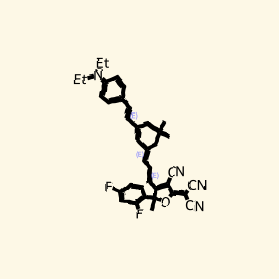 CCN(CC)c1ccc(/C=C/C2=CC(=C/C=C/C3=C(C#N)C(=C(C#N)C#N)OC3(C)c3ccc(F)cc3F)/CC(C)(C)C2)cc1